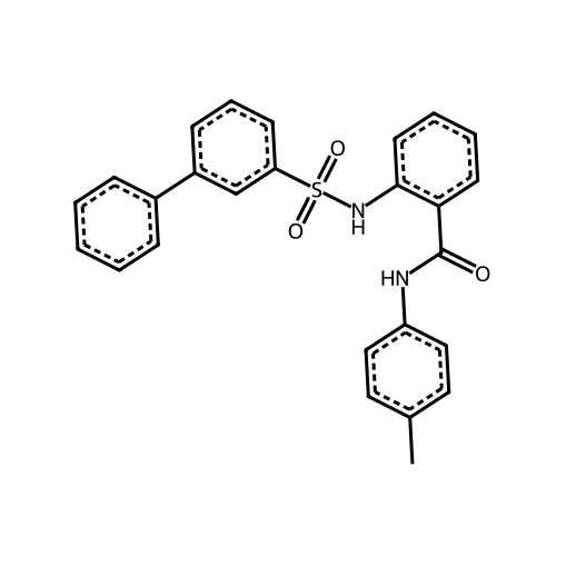 Cc1ccc(NC(=O)c2ccccc2NS(=O)(=O)c2cccc(-c3ccccc3)c2)cc1